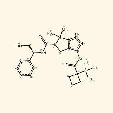 CC1(C)c2[nH]nc(NC(=O)C3(S(C)(C)C)CCC3)c2CN1C(=O)N[C@H](CO)c1ccccc1